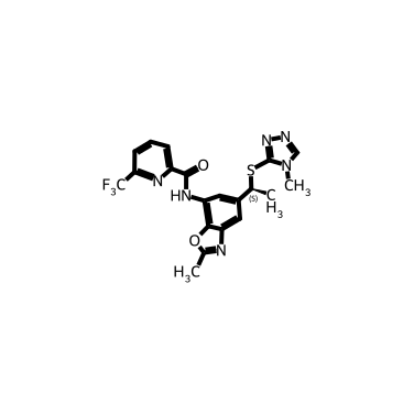 Cc1nc2cc([C@H](C)Sc3nncn3C)cc(NC(=O)c3cccc(C(F)(F)F)n3)c2o1